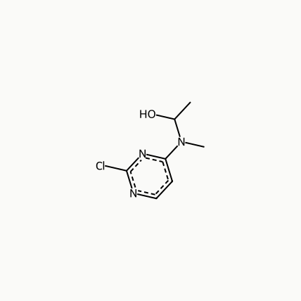 CC(O)N(C)c1ccnc(Cl)n1